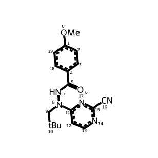 COc1ccc(C(=O)NN(CC(C)(C)C)c2ccnc(C#N)n2)cc1